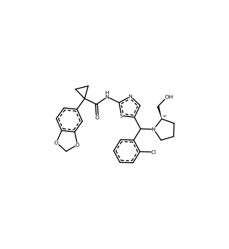 O=C(Nc1ncc(C(c2ccccc2Cl)N2CCC[C@@H]2CO)s1)C1(c2ccc3c(c2)OCO3)CC1